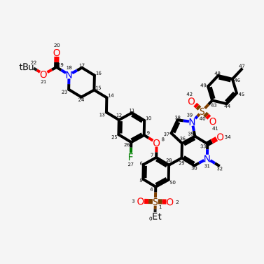 CCS(=O)(=O)c1ccc(Oc2ccc(CCC3CCN(C(=O)OC(C)(C)C)CC3)cc2F)c(-c2cn(C)c(=O)c3c2ccn3S(=O)(=O)c2ccc(C)cc2)c1